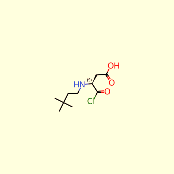 CC(C)(C)CCN[C@@H](CC(=O)O)C(=O)Cl